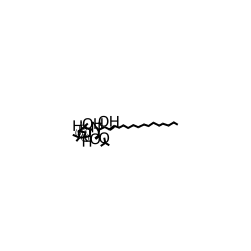 CCCCCCCCCCCCCC=CC(O)C(N=C1C[C@H]2C[C@@H](C2(C)C)[C@@]1(C)O)C(=O)OC(C)C